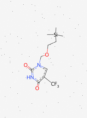 C[Si](C)(C)CCOCn1cc(C(F)(F)F)c(=O)[nH]c1=O